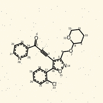 O=C(C#Cc1c(COC2CCCCO2)noc1-c1ccccc1Cl)c1cccnc1